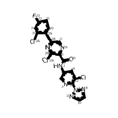 O=C(Nc1cnc(-n2nccn2)c(Cl)c1)c1ncc(-c2ccc(F)cc2Cl)nc1Cl